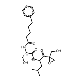 CC(C)CC(NC(=O)[C@H](CO)NC(=O)CCCCc1ccccc1)C(=O)C1(CO)CO1